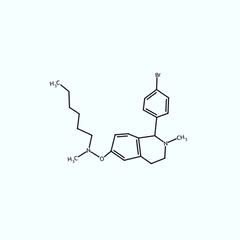 CCCCCCN(C)Oc1ccc2c(c1)CCN(C)C2c1ccc(Br)cc1